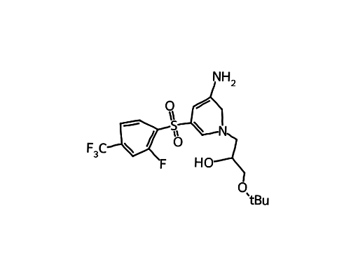 CC(C)(C)OCC(O)CN1C=C(S(=O)(=O)c2ccc(C(F)(F)F)cc2F)C=C(N)C1